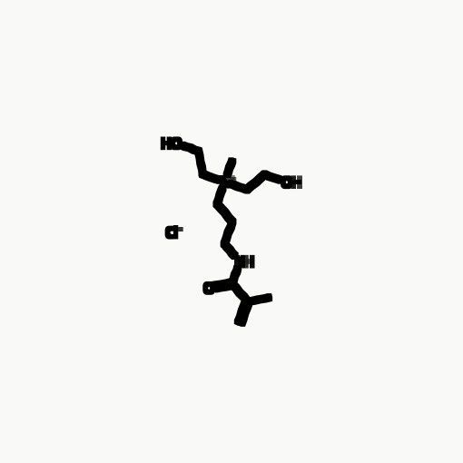 C=C(C)C(=O)NCCC[N+](C)(CCO)CCO.[Cl-]